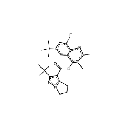 Cc1nc2c(F)cc(C(C)(C)C)cc2c(OC(=O)c2c(C(C)(C)C)nn3c2CCC3)c1C